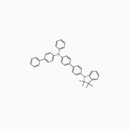 CC1(C)c2ccccc2N(c2ccc(-c3ccc(N(c4ccccc4)c4ccc(-c5ccccc5)cc4)cc3)cc2)C1(C)C